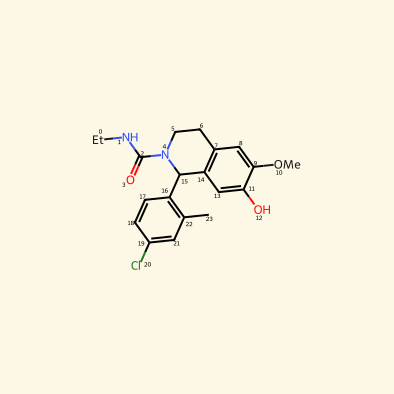 CCNC(=O)N1CCc2cc(OC)c(O)cc2C1c1ccc(Cl)cc1C